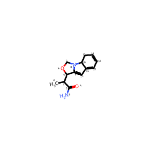 CC(C(N)=O)C1OCN2C1=CC1=CC=CCC12